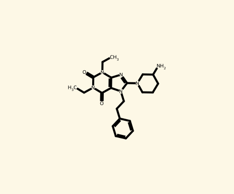 CCn1c(=O)c2c(nc(N3CCCC(N)C3)n2CCc2ccccc2)n(CC)c1=O